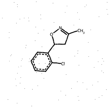 CC1=NOC(c2ccccc2Cl)C1